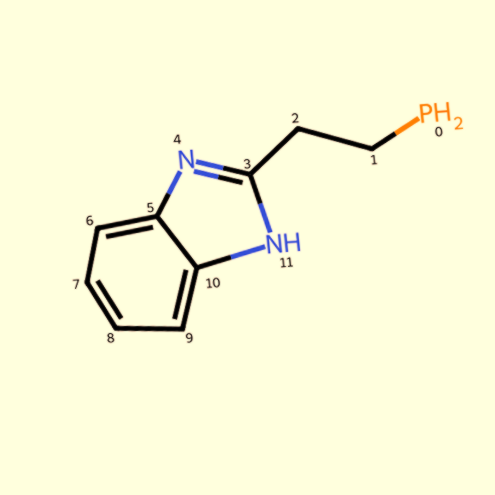 PCCc1nc2ccccc2[nH]1